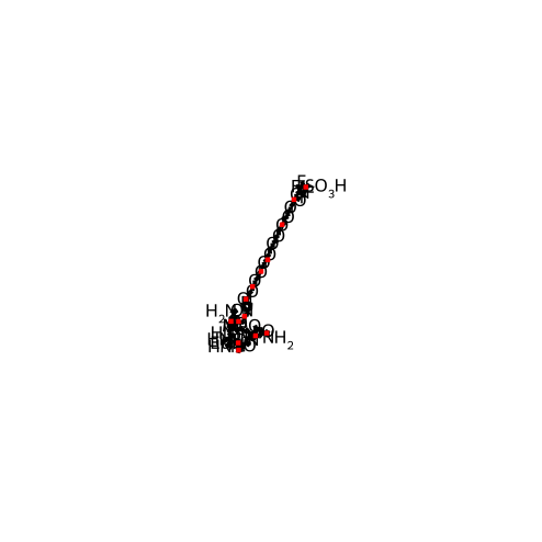 CCN/C(=C\C(C)=N)C(=O)Nc1nc2cc(C(N)=O)cc(OCCCN3CCN(C(=O)CCOCCOCCOCCOCCOCCOCCOCCOCCOCCOCCC(=O)Oc4c(F)c(F)c(S(=O)(=O)O)c(F)c4F)CC3)c2n1CCCCn1c(NC(=O)c2cc(C)nn2CC)nc2cc(C(N)=O)cc(OC)c21